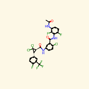 CC(=O)Nc1ccc(F)c(NC(=O)c2cc(NC(=O)[C@H]3[C@H](c4ccc(F)c(C(F)(F)F)c4)C3(Cl)Cl)ccc2Cl)c1F